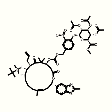 C=CC[C@H]1C(=O)C(C)(C)[C@@H](OC(=O)OCc2ccc(O[C@@H]3O[C@H](C(=O)OC)[C@@H](OC(C)=O)[C@H](OC(C)=O)[C@H]3OC(C)=O)c([N+](=O)[O-])c2)CC(=O)O[C@H](c2ccc3sc(C)nc3c2)CC=C(C)CCC[C@H](C)[C@@H]1O[Si](C)(C)C(C)(C)C